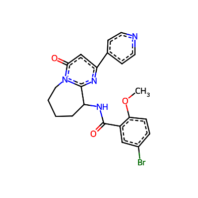 COc1ccc(Br)cc1C(=O)NC1CCCCn2c1nc(-c1ccncc1)cc2=O